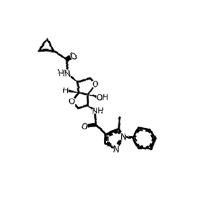 Cc1c(C(=O)N[C@H]2CO[C@@H]3[C@@H](NC(=O)C4CC4)CO[C@]23O)cnn1-c1ccccc1